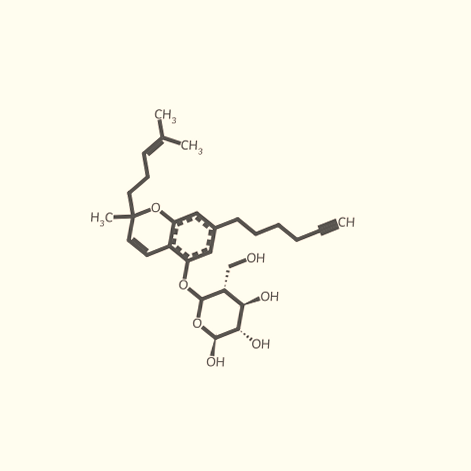 C#CCCCCc1cc(OC2O[C@H](O)[C@@H](O)[C@H](O)[C@H]2CO)c2c(c1)OC(C)(CCC=C(C)C)C=C2